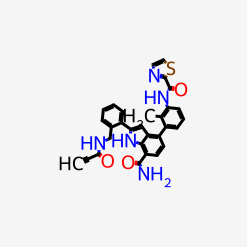 C#CC(=O)NCc1ccccc1-c1cc2c(-c3cccc(NC(=O)c4nccs4)c3C)ccc(C(N)=O)c2[nH]1